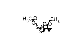 CCOC(=O)C1(c2csc(SCOC(C)=O)n2)CC1